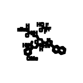 CCCCNC(=O)NCCCC[C@H](NC(=O)Cc1c(C)[nH]c2ccc(OC)cc12)c1ncc(-c2ccc3ccccc3c2)[nH]1.O=C(O)C(F)(F)F